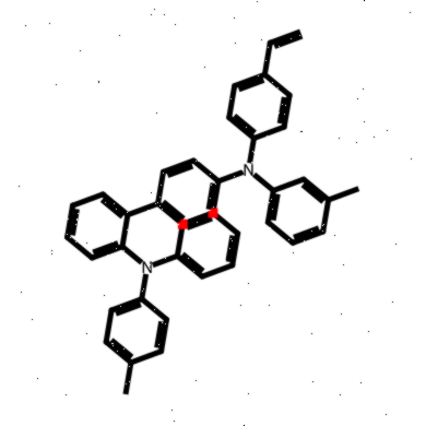 C=Cc1ccc(N(c2ccc(-c3ccccc3N(c3ccccc3)c3ccc(C)cc3)cc2)c2cccc(C)c2)cc1